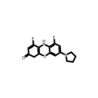 O=C1C=C(F)C2=C(C1)Sc1cc(N3CCCC3)cc(F)c1N2